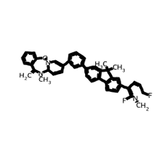 C=N/C(F)=C(\C=C/CF)c1ccc2c(c1)C(C)(C)c1cc(-c3cccc(C4=CN5Oc6ccccc6C(=C)N(C)C5C=C4)c3)ccc1-2